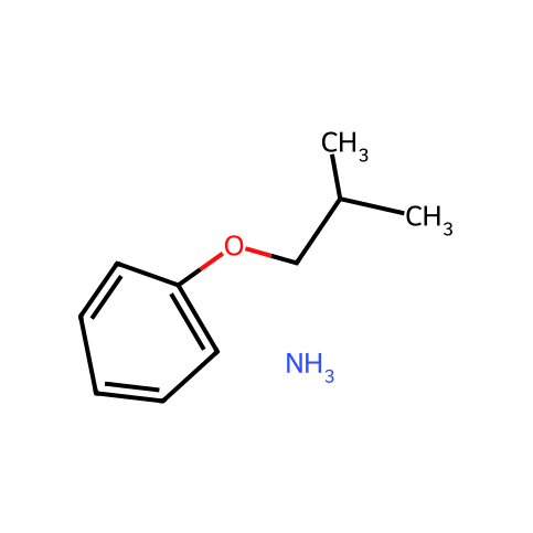 CC(C)COc1ccccc1.N